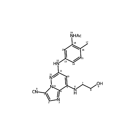 [C-]#[N+]c1cnc2c(NCCO)cc(Nc3ccc(C)c(NC(C)=O)c3)nn12